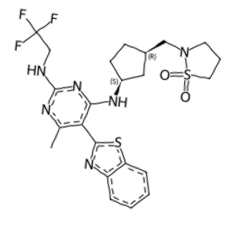 Cc1nc(NCC(F)(F)F)nc(N[C@H]2CC[C@@H](CN3CCCS3(=O)=O)C2)c1-c1nc2ccccc2s1